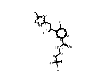 Cc1nnc(CC(O)c2cc(C(=O)NCCC(F)(F)F)ccc2F)o1